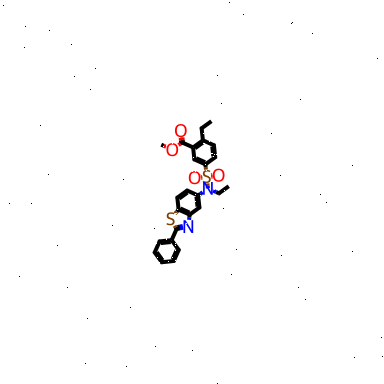 CCc1ccc(S(=O)(=O)N(CC)c2ccc3sc(-c4ccccc4)nc3c2)cc1C(=O)OC